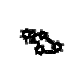 COc1cccc(CNc2c(-c3ccc(C#Cc4ccccc4)s3)nc3cccc(C)n23)c1